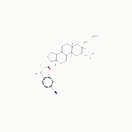 CCOC[C@@]1(O[Si](C)(C)C)CC[C@H]2[C@H](CC[C@@H]3[C@@H]2CC[C@]2(C)[C@@H](C(=O)N(C)[C@H](C)c4ccc(C#N)cc4)CC[C@@H]32)C1